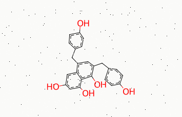 Oc1ccc(Cc2cc(Cc3ccc(O)cc3)c3cc(O)cc(O)c3c2O)cc1